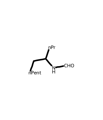 CCCCCCC(CCC)NC=O